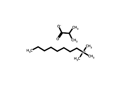 CC(C)C(=O)[O-].CCCCCCCC[N+](C)(C)C